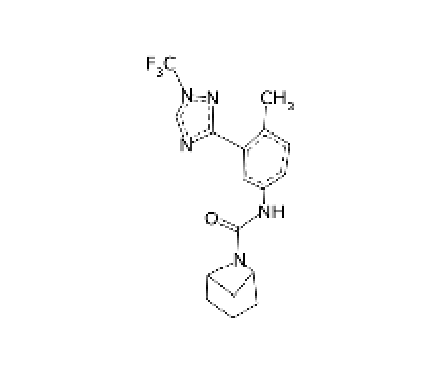 Cc1ccc(NC(=O)N2C3CCCC2C3)cc1-c1ncn(C(F)(F)F)n1